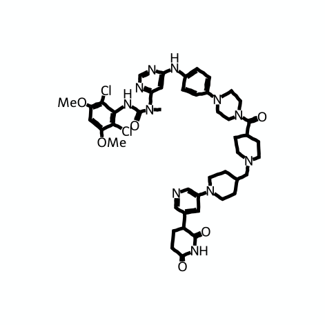 COc1cc(OC)c(Cl)c(NC(=O)N(C)c2cc(Nc3ccc(N4CCN(C(=O)C5CCN(CC6CCN(c7cncc(C8CCC(=O)NC8=O)c7)CC6)CC5)CC4)cc3)ncn2)c1Cl